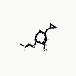 COCOc1ccc(C2CC2)cc1S